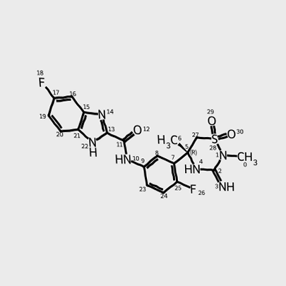 CN1C(=N)N[C@](C)(c2cc(NC(=O)c3nc4cc(F)ccc4[nH]3)ccc2F)CS1(=O)=O